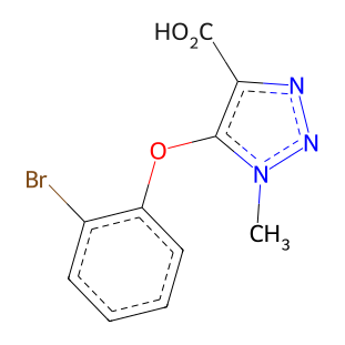 Cn1nnc(C(=O)O)c1Oc1ccccc1Br